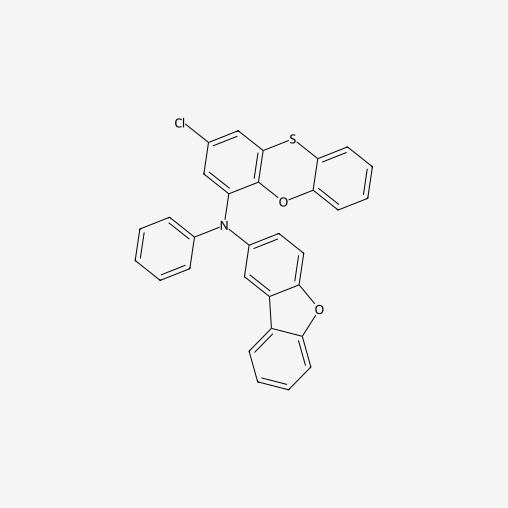 Clc1cc2c(c(N(c3ccccc3)c3ccc4oc5ccccc5c4c3)c1)Oc1ccccc1S2